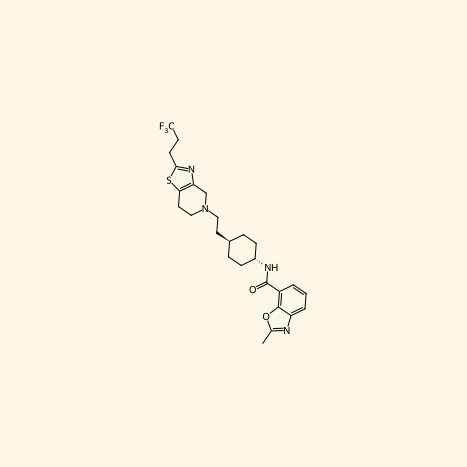 Cc1nc2cccc(C(=O)N[C@H]3CC[C@H](CCN4CCc5sc(CCC(F)(F)F)nc5C4)CC3)c2o1